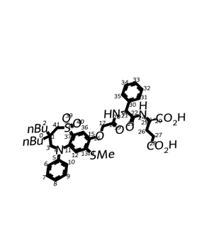 CCCCC1(CCCC)CN(c2ccccc2)c2cc(SC)c(OCC(=O)N[C@@H](C(=O)N[C@H](CCC(=O)O)C(=O)O)c3ccccc3)cc2S(=O)(=O)C1